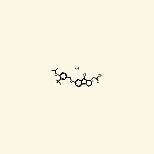 CC(C)Oc1ccc(COc2ccc3c(c2)c(Cl)c2n3CC[C@@H]2CC(=O)O)cc1C(F)(F)F.[KH]